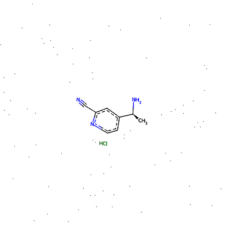 C[C@H](N)c1ccnc(C#N)c1.Cl